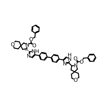 O=C(OCc1ccccc1)N1CC2(CCOCC2)CC1c1nc(-c2ccc(-c3ccc(-c4cnc([C@@H]5CC6(CCOCC6)CN5C(=O)OCc5ccccc5)[nH]4)cc3)cc2)c[nH]1